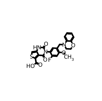 COc1cc(F)c(-n2c(=O)[nH]c3csc(C(=O)O)c3c2=O)cc1CN1CCOc2ccccc21